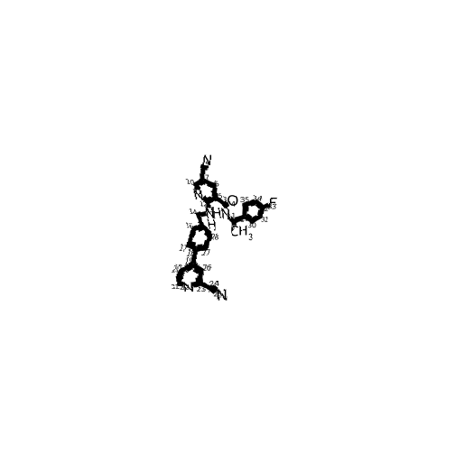 CC(NC(=O)c1cc(C#N)cnc1NCc1ccc(-c2ccnc(C#N)c2)cc1)c1ccc(F)cc1